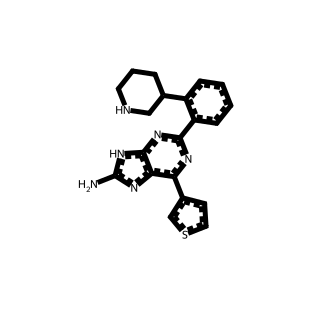 Nc1nc2c(-c3ccsc3)nc(-c3ccccc3C3CCCNC3)nc2[nH]1